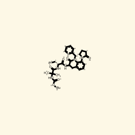 CC(C)C[C@@H](NC(=O)C(C)(C)NC(=O)OC(C)(C)C)C(=O)NC1Cc2cccc(N3CCCC3=O)c2N(Cc2ccccn2)C1=O